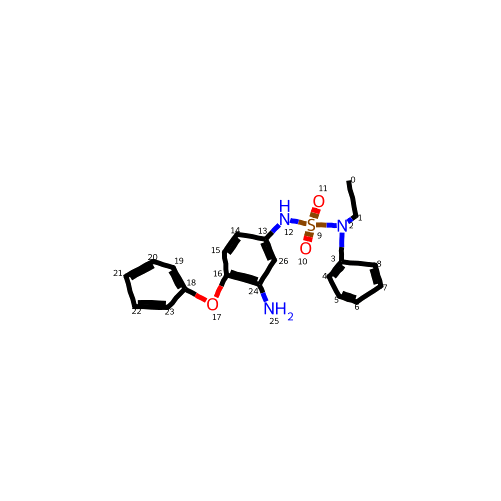 CCN(c1ccccc1)S(=O)(=O)Nc1ccc(Oc2ccccc2)c(N)c1